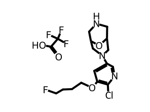 FCCCCOc1cc(N2CC3CNCC(C2)O3)cnc1Cl.O=C(O)C(F)(F)F